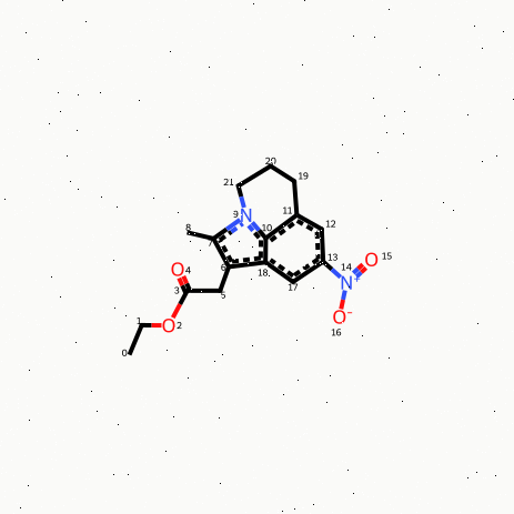 CCOC(=O)Cc1c(C)n2c3c(cc([N+](=O)[O-])cc13)CCC2